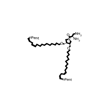 CCCCC/C=C\C/C=C\CCCCCCCCCCOC[C@@H]1CN(C(=O)[C@@H](N)CN)C[C@H]1COCCCCCCCCCC/C=C\C/C=C\CCCCC